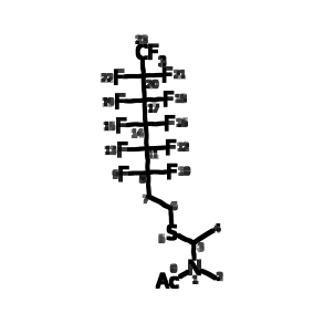 CC(=O)N(C)C(C)SCCC(F)(F)C(F)(F)C(F)(F)C(F)(F)C(F)(F)C(F)(F)F